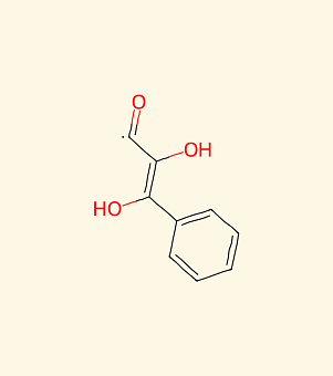 O=[C]C(O)=C(O)c1ccccc1